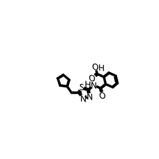 O=C(O)C1CC=CCC1C(=O)Nc1nnc(CC2CCCC2)s1